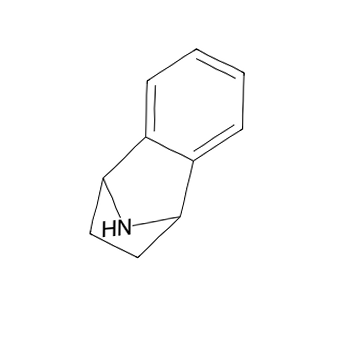 c1ccc2c(c1)C1CCC2N1